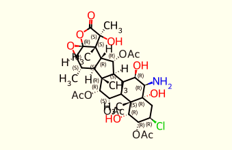 CC(=O)O[C@H]1[C@@H]2[C@H]([C@H](C)[C@H]3O[C@]34OC(=O)[C@@](C)(O)[C@]24C)[C@]2(C)[C@@H]1C1C([C@H](OC(C)=O)[C@@H]2OC(C)=O)[C@@]2(C)[C@@H](O)[C@@H](OC(C)=O)[C@H](Cl)C[C@]2(O)[C@H](N)[C@@H]1O